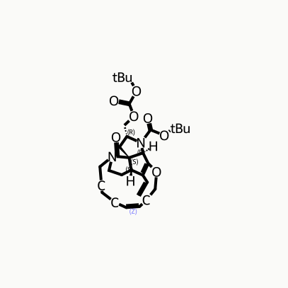 C=CC1=C2OCC/C=C\CCCCN3CC[C@@H]1[C@]1(C[C@H](COC(=O)OC(C)(C)C)N(C(=O)OC(C)(C)C)[C@@H]21)C3=O